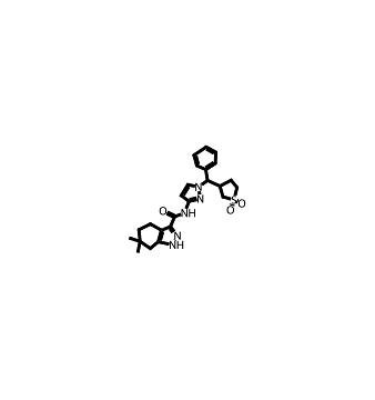 CC1(C)CCc2c(C(=O)Nc3ccn(C(c4ccccc4)C4CCS(=O)(=O)C4)n3)n[nH]c2C1